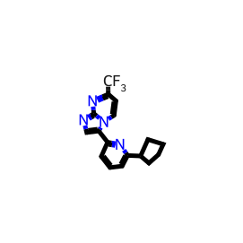 FC(F)(F)c1ccn2c(-c3cccc(C4CCCC4)n3)cnc2n1